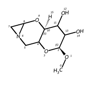 CO[C@H]1OC2CN3CC3O[C@H]2C(O)C1O